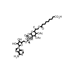 CC(=O)OC1C(OP(=O)(O)OP(O)(=S)OCC2OC(n3cnc4c(N)ncnc43)C(O)C2O)OC([C@@H](F)COC(=O)CCCCCCCC(=O)O)C(OC(C)=O)C1OC(C)=O